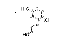 Cc1ccc(Cl)c(C=CCO)c1